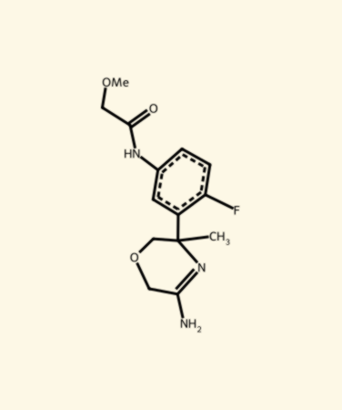 COCC(=O)Nc1ccc(F)c(C2(C)COCC(N)=N2)c1